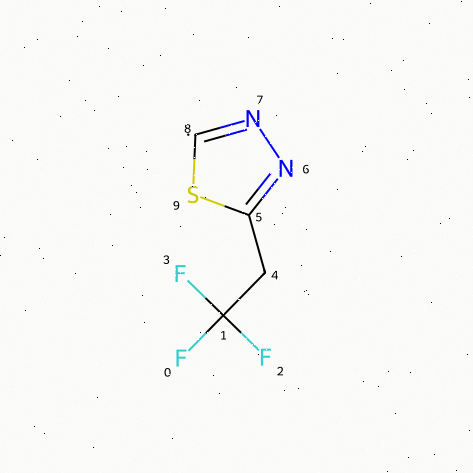 FC(F)(F)Cc1nn[c]s1